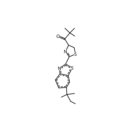 CCC(C)(C)c1ccc2nc(C3=NC(C(=O)C(C)(C)C)CS3)sc2c1